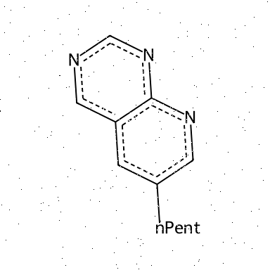 CCCCCc1cnc2ncncc2c1